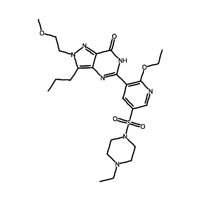 CCCc1c2nc(-c3cc(S(=O)(=O)N4CCN(CC)CC4)cnc3OCC)[nH]c(=O)c2nn1CCOC